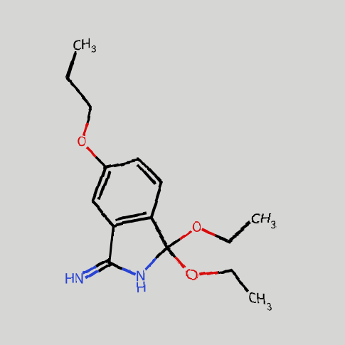 CCCOc1ccc2c(c1)C(=N)NC2(OCC)OCC